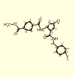 COC(=O)c1ccc(C(=O)Nc2sc(Cl)cc2C(=O)NCc2ccc(F)cc2)cc1